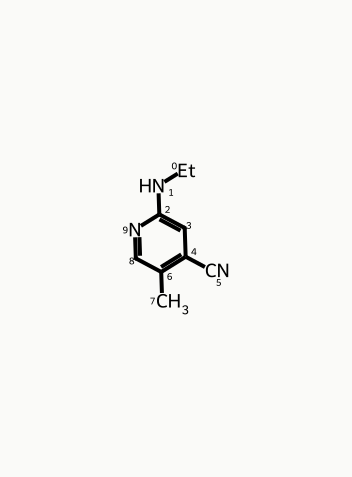 CCNc1cc(C#N)c(C)cn1